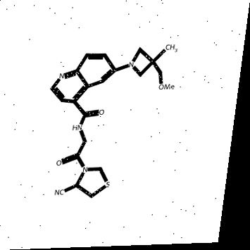 COCC1(C)CN(c2ccc3nccc(C(=O)NCC(=O)N4CSCC4C#N)c3c2)C1